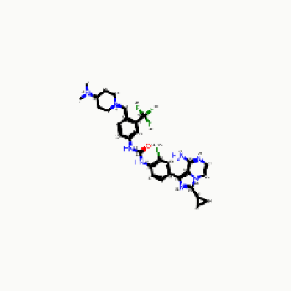 CN(C)C1CCN(Cc2ccc(NC(=O)Nc3ccc(-c4nc(C5CC5)n5ccnc(N)c45)cc3F)cc2C(F)(F)F)CC1